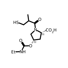 CCNC(=O)O[C@H]1C[C@@H](C(=O)O)N(C(=O)C(C)CS)C1